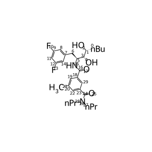 CCCC[C@@H](O)[C@H](O)[C@H](Cc1cc(F)cc(F)c1)NC(=O)c1cc(C)cc(C(=O)N(CCC)CCC)c1